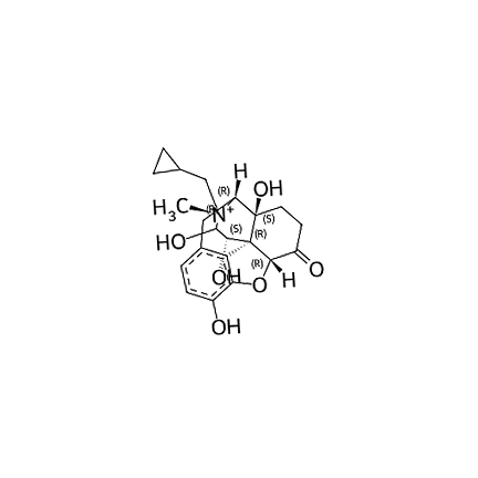 C[N@+]1(CC2CC2)C(O)[C@@H](O)[C@]23c4c5ccc(O)c4O[C@H]2C(=O)CC[C@@]3(O)[C@H]1C5